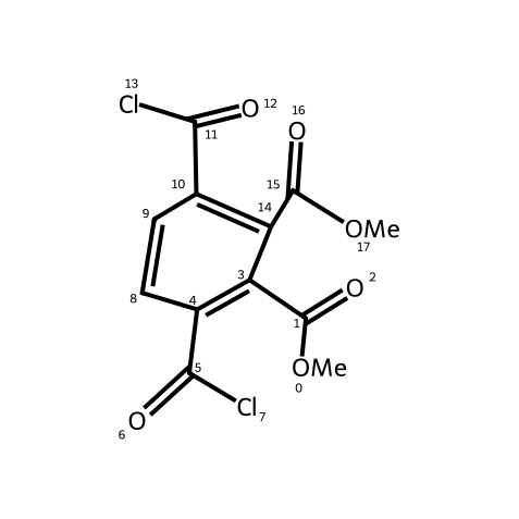 COC(=O)c1c(C(=O)Cl)ccc(C(=O)Cl)c1C(=O)OC